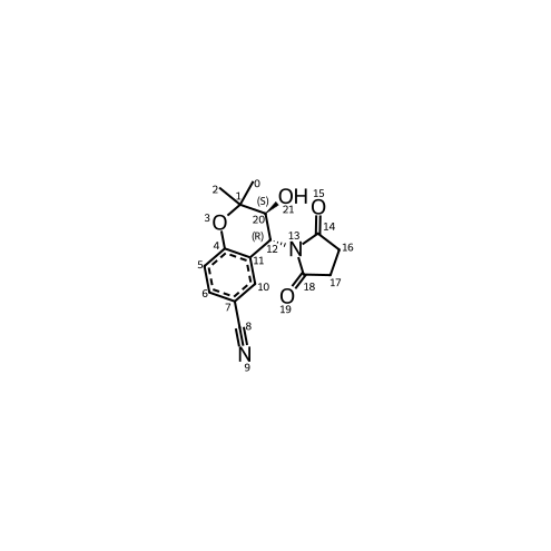 CC1(C)Oc2ccc(C#N)cc2[C@@H](N2C(=O)CCC2=O)[C@@H]1O